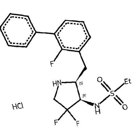 CCS(=O)(=O)N[C@@H]1[C@H](Cc2cccc(-c3ccccc3)c2F)NCC1(F)F.Cl